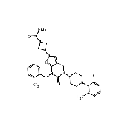 CNC(=O)N1CC(n2cc3c(n2)N(Cc2ccccc2C(F)(F)F)C(=O)N(C2CCN(c4c(C)cccc4F)CC2)C3)C1